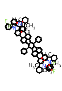 CC12CCCCC1(C)N(c1cccc(F)c1)c1ccc(-c3ccc4c5c(-c6ccccc6)c6c7ccc(-c8ccc9c(c8)C8(C)CCCCC8(C)N9c8cccc(F)c8)c8c(-c9ccc%10c(c9)C9(C)CCCCC9(C)N%10c9cccc(F)c9)ccc(c6c(-c6ccccc6)c5c5ccc(-c6ccc9c(c6)C6(C)CCCCC6(C)N9c6cccc(F)c6)c3c45)c87)cc12